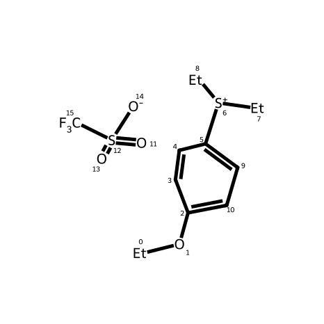 CCOc1ccc([S+](CC)CC)cc1.O=S(=O)([O-])C(F)(F)F